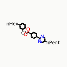 CCCCCCc1ccc(OC(=O)c2ccc(-c3ncc(CCCCC)cn3)cc2)c(C#N)c1